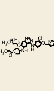 C=CC(=O)N1CCC(Nc2cc3c(Nc4ccc(OCc5ccccn5)c(Cl)c4)ncnc3cc2OCCN(C)C)CC1